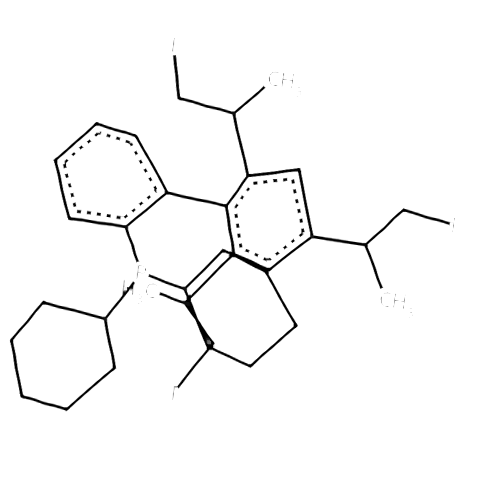 CC(CI)c1cc(C(C)CI)c(-c2ccccc2P(C2CCCCC2)C2CCCCC2)c(C(C)CI)c1